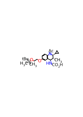 CC(=O)N1c2ccc(OCCO[Si](C)(C)C(C)(C)C)cc2[C@H](NC(=O)O)[C@@H](C)[C@@H]1C1CC1